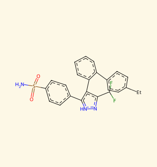 CCc1ccc(-c2ccccc2-c2c(C(F)F)n[nH]c2-c2ccc(S(N)(=O)=O)cc2)cc1